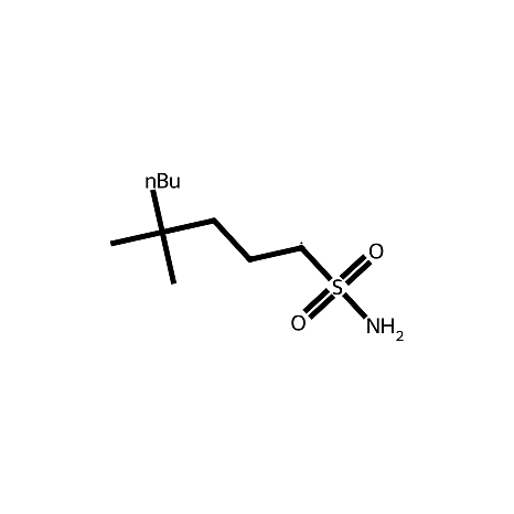 CCCCC(C)(C)CC[CH]S(N)(=O)=O